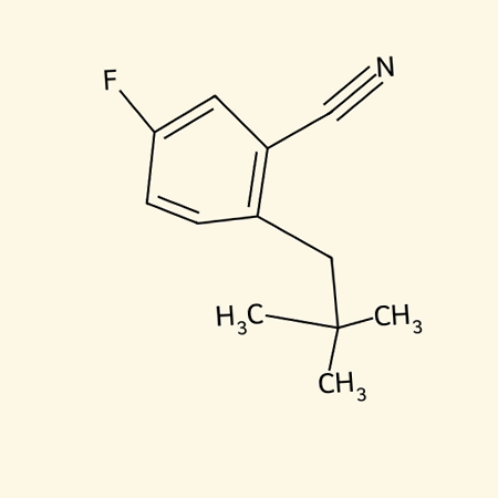 CC(C)(C)Cc1ccc(F)cc1C#N